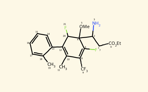 CCOC(=O)CC(N)C1(OC)C(F)=C(C(F)(F)F)C(C)=C(c2ccccc2C)C1F